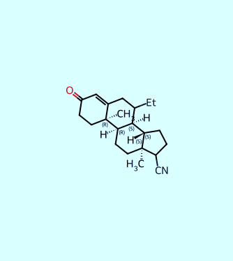 CCC1CC2=CC(=O)CC[C@]2(C)[C@@H]2CC[C@]3(C)C(C#N)CC[C@H]3[C@H]12